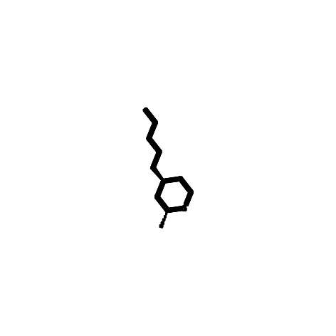 CCCCC[C@H]1CCS[C@H](C)C1